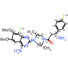 COc1cc2c(N)nc(N3C[C@@H](C)N(C(=O)C[C@@H](N)c4ccc(F)cc4)C[C@@H]3C)nc2c(F)c1OC